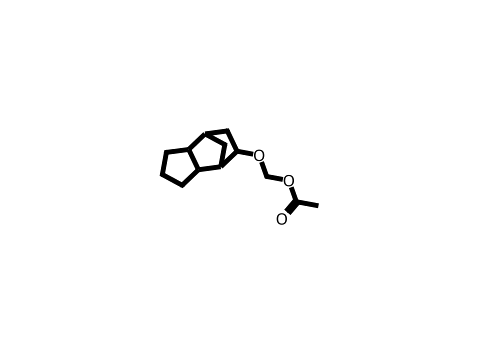 CC(=O)OCOC1CC2CC1C1CCCC21